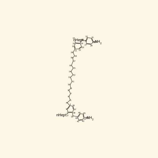 CCCCCCCc1cc(CCCCCCCCCCCCCCCCCc2ccc(Cc3ccc(N)cc3)c(CCCCCCC)c2)ccc1Cc1ccc(N)cc1